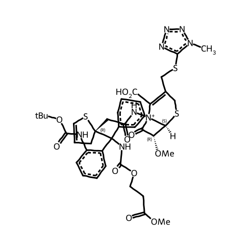 COC(=O)CCOC(=O)NC(c1ccccc1)(c1ccccc1NC(=O)OC(C)(C)C)[C@]1(CC(=O)N[N+]23C(=O)[C@@H](OC)[C@@H]2SCC(CSc2nnnn2C)=C3C(=O)O)CC=CS1